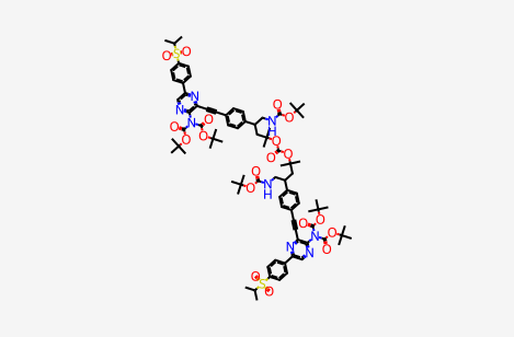 CC(C)S(=O)(=O)c1ccc(-c2cnc(N(C(=O)OC(C)(C)C)C(=O)OC(C)(C)C)c(C#Cc3ccc(C(CNC(=O)OC(C)(C)C)CC(C)(C)OC(=O)OC(C)(C)CC(CNC(=O)OC(C)(C)C)c4ccc(C#Cc5nc(-c6ccc(S(=O)(=O)C(C)C)cc6)cnc5N(C(=O)OC(C)(C)C)C(=O)OC(C)(C)C)cc4)cc3)n2)cc1